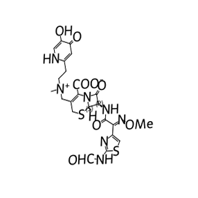 CON=C(C(=O)N[C@@H]1C(=O)N2C(C(=O)[O-])=C(C[N+](C)(C)CCc3cc(=O)c(O)c[nH]3)CS[C@@H]12)c1csc(NC=O)n1